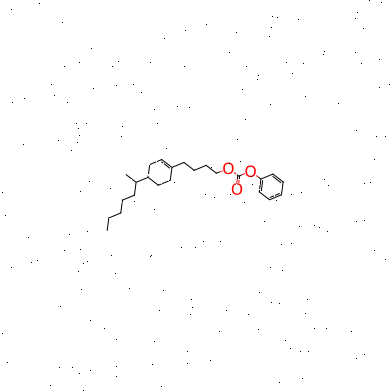 CCCCCC(C)C1CC=C(CCCCOC(=O)Oc2ccccc2)CC1